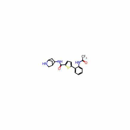 O=C(NC1CC2CC1CN2)c1ccc(-c2ccccc2NC(=O)C(F)(F)F)s1